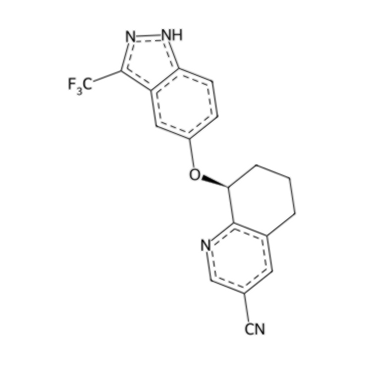 N#Cc1cnc2c(c1)CCC[C@@H]2Oc1ccc2[nH]nc(C(F)(F)F)c2c1